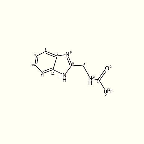 CCCC(=O)NCc1nc2ccccc2[nH]1